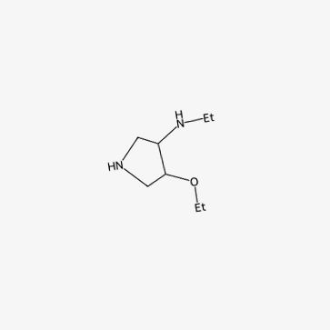 CCNC1CNCC1OCC